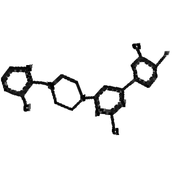 Fc1ccc(-c2cc(N3CCN(c4ncccc4Cl)CC3)nc(Cl)n2)cc1Cl